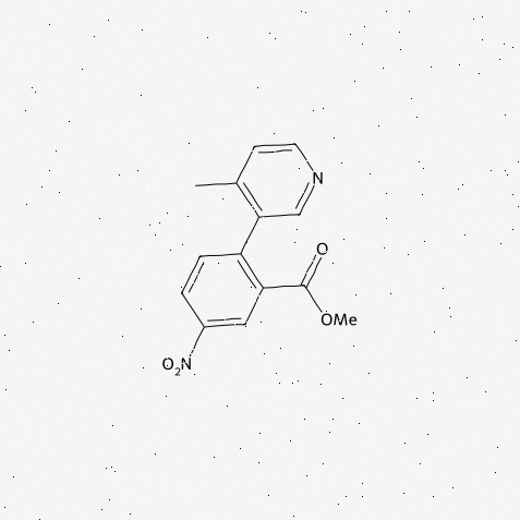 COC(=O)c1cc([N+](=O)[O-])ccc1-c1cnccc1C